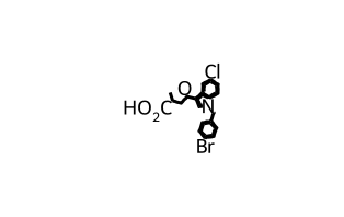 CC(CC(=O)c1cn(Cc2ccc(Br)cc2)c2ccc(Cl)cc12)C(=O)O